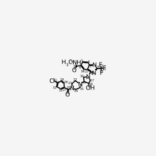 CNC(=O)c1ccc2nc(C(F)(F)F)nc(N3CC(O)C(N4CCN(C(=O)c5ccc(Cl)cc5)CC4)C3)c2c1